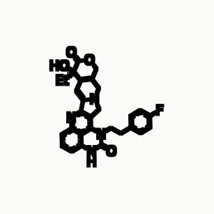 CC[C@@]1(O)C(=O)OCC2=C1C=C1c3nc4cccc5c4c(c3CN1C2)N(CCc1ccc(F)cc1)C(=O)N5